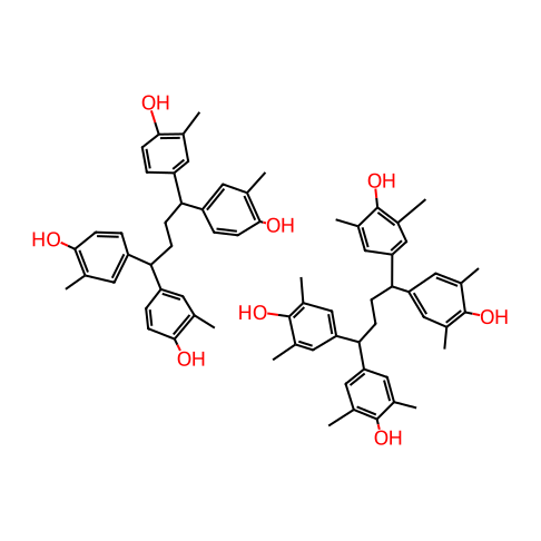 Cc1cc(C(CCC(c2cc(C)c(O)c(C)c2)c2cc(C)c(O)c(C)c2)c2cc(C)c(O)c(C)c2)cc(C)c1O.Cc1cc(C(CCC(c2ccc(O)c(C)c2)c2ccc(O)c(C)c2)c2ccc(O)c(C)c2)ccc1O